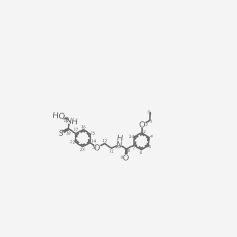 CCOc1cccc(C(=O)NCCOc2ccc(C(=S)NO)cc2)c1